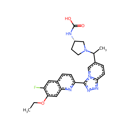 CCOc1cc2nc(-c3nnc4ccc(C(C)N5CC[C@H](NC(=O)O)C5)cn34)ccc2cc1F